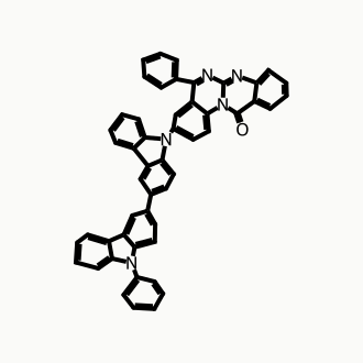 O=c1c2ccccc2nc2nc(-c3ccccc3)c3cc(-n4c5ccccc5c5cc(-c6ccc7c(c6)c6ccccc6n7-c6ccccc6)ccc54)ccc3n12